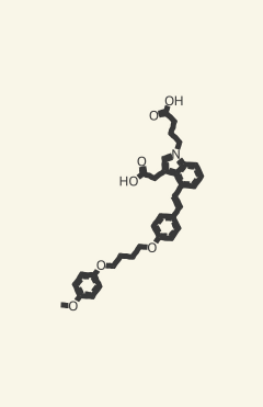 COc1ccc(OCCCCOc2ccc(C=Cc3cccc4c3c(CC(=O)O)cn4CCCC(=O)O)cc2)cc1